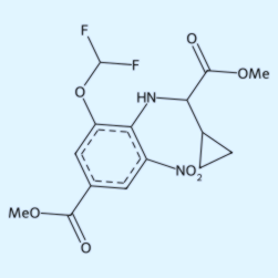 COC(=O)c1cc(OC(F)F)c(NC(C(=O)OC)C2CC2)c([N+](=O)[O-])c1